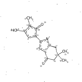 Cn1c(O)cn(-c2nc3c(s2)C(=O)CC(C)(C)C3)c1=O